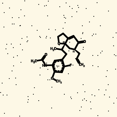 C=CC[C@H]1C[C@]2(C(C)Cc3cc(NC(C)=O)c(OC)cc3F)OCCC2=CC1=O